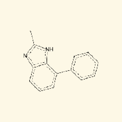 Cc1nc2cccc(-c3ccccc3)c2[nH]1